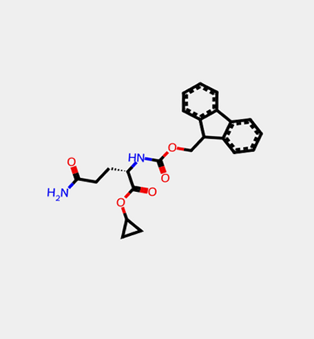 NC(=O)CC[C@H](NC(=O)OCC1c2ccccc2-c2ccccc21)C(=O)OC1CC1